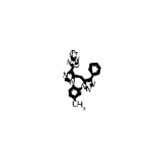 Cc1ccc2c(c1)-n1nnc(-c3ccccc3)c1Cc1c(-c3nc(C(C)C)no3)ncn1-2